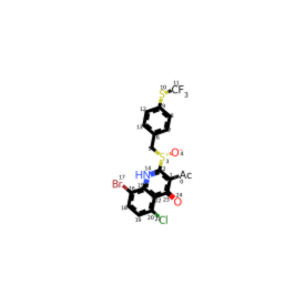 CC(=O)c1c([S+]([O-])Cc2ccc(SC(F)(F)F)cc2)[nH]c2c(Br)ccc(Cl)c2c1=O